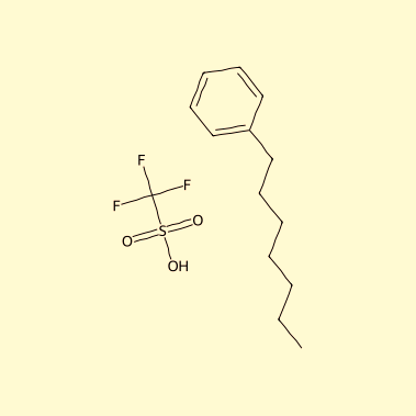 CCCCCCCc1ccccc1.O=S(=O)(O)C(F)(F)F